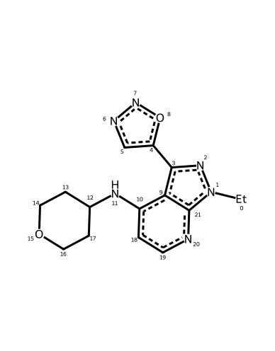 CCn1nc(-c2cnno2)c2c(NC3CCOCC3)ccnc21